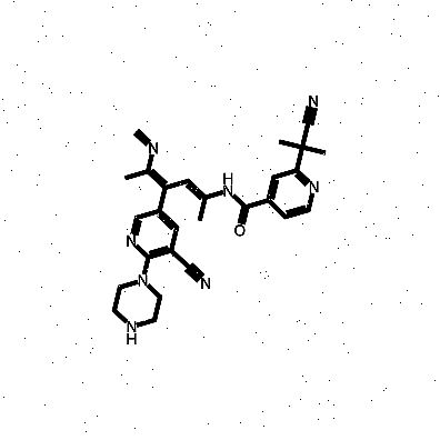 C=N/C(C)=C(\C=C(/C)NC(=O)c1ccnc(C(C)(C)C#N)c1)c1cnc(N2CCNCC2)c(C#N)c1